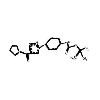 CC(C)(C)OC(=O)N[C@H]1CC[C@@H](n2cc(C(=O)N3CCCC3)nn2)CC1